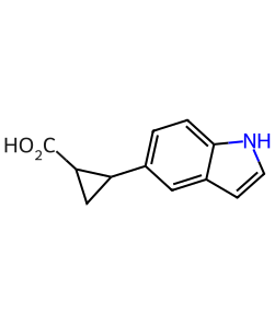 O=C(O)C1CC1c1ccc2[nH]ccc2c1